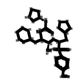 COc1ccc(S(=O)(=O)N(CC2CCCC2)C[C@H](O)C(CC2CCCCC2)NC(=O)O[C@H]2CCOC2)cc1